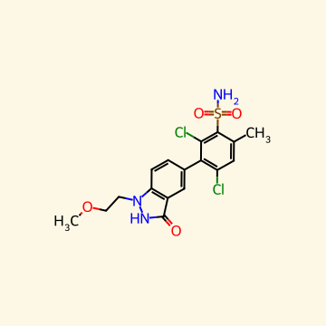 COCCn1[nH]c(=O)c2cc(-c3c(Cl)cc(C)c(S(N)(=O)=O)c3Cl)ccc21